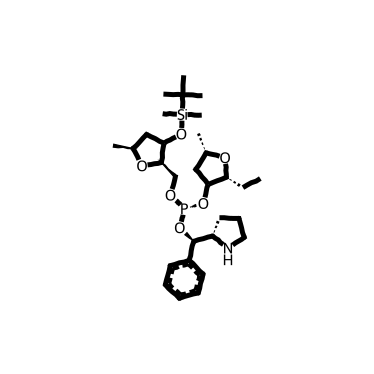 CC[C@H]1O[C@@H](C)CC1O[P@@](OC[C@H]1O[C@@H](C)CC1O[Si](C)(C)C(C)(C)C)O[C@H](c1ccccc1)[C@@H]1CCCN1